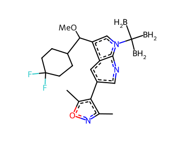 BC(B)(B)n1cc(C(OC)C2CCC(F)(F)CC2)c2cc(-c3c(C)noc3C)cnc21